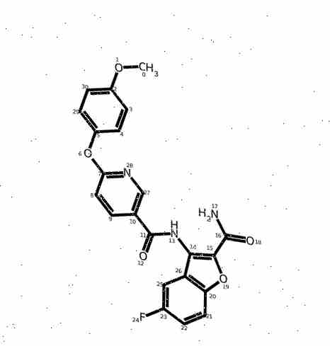 COc1ccc(Oc2ccc(C(=O)Nc3c(C(N)=O)oc4ccc(F)cc34)cn2)cc1